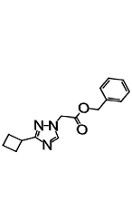 O=C(Cn1cnc(C2CCC2)n1)OCc1ccccc1